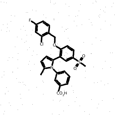 Cc1ccc(-c2cc(S(C)(=O)=O)ccc2OCc2ccc(F)cc2Cl)n1-c1cccc(C(=O)O)c1